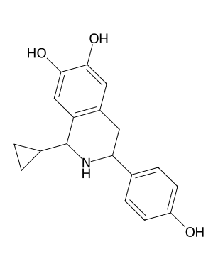 Oc1ccc(C2Cc3cc(O)c(O)cc3C(C3CC3)N2)cc1